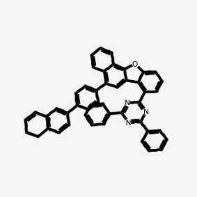 C1=Cc2cc(-c3ccc(-c4cc5c(oc6cccc(-c7nc(-c8ccccc8)nc(-c8ccccc8)n7)c65)c5ccccc45)cc3)ccc2CC1